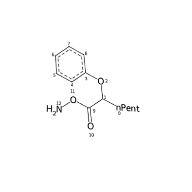 CCCCCC(Oc1ccccc1)C(=O)ON